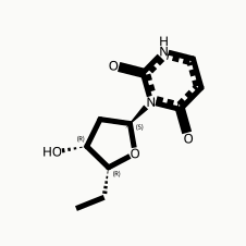 CC[C@H]1O[C@H](n2c(=O)cc[nH]c2=O)C[C@H]1O